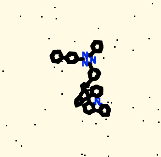 C1=CC2C3C(=C1)c1ccccc1N3c1ccccc1C21c2ccccc2-c2ccc(-c3cccc(-c4nc(-c5ccccc5)nc(-c5ccc(-c6ccccc6)cc5)n4)c3)cc21